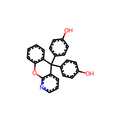 Oc1ccc(C2(c3ccc(O)cc3)c3ccccc3Oc3ncccc32)cc1